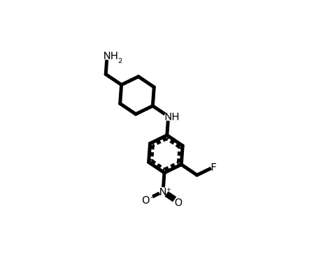 NCC1CCC(Nc2ccc([N+](=O)[O-])c(CF)c2)CC1